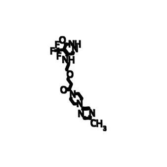 Cc1cnc(N2CCN(C(=O)CCOCCNc3cn[nH]c(=O)c3C(F)(F)F)CC2)cn1